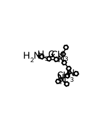 CN1c2ccccc2N(c2ccccc2)C1c1ccc2c(c1)c1cc(-c3ccc(N(c4ccc(-c5ccccc5)cc4)c4ccc5c(c4)C(C)(C)c4cc(-c6ccc(N)cc6)ccc4-5)cc3)ccc1n2-c1ccccc1